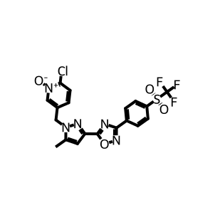 Cc1cc(-c2nc(-c3ccc(S(=O)(=O)C(F)(F)F)cc3)no2)nn1Cc1ccc(Cl)[n+]([O-])c1